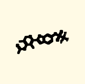 CC(=O)OC1=C(C)COC(c2cc3ccc(OS(=O)(=O)C(F)(F)F)cc3o2)=C1C